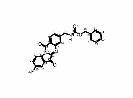 O=C(NCc1ccc2c(=O)n3c(nc2c1)C(=O)c1cc(F)ccc1-3)OCc1ccccc1